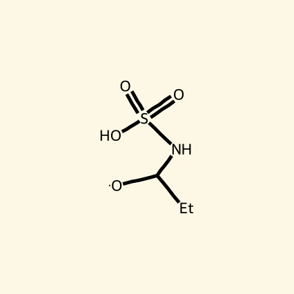 CCC([O])NS(=O)(=O)O